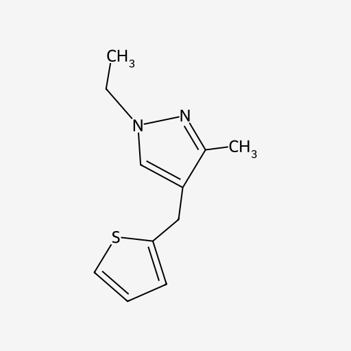 CCn1cc(Cc2cccs2)c(C)n1